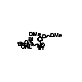 CCN(C[C@@H](C=O)CCN(C(=O)c1ccc(OC)c(OCCCOC)c1)C(C)C)C(=O)OC(C)(C)C